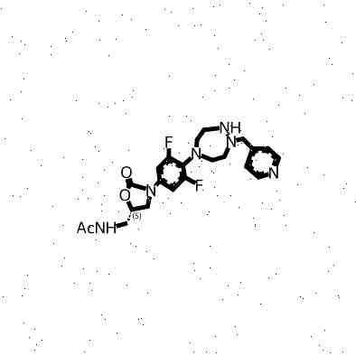 CC(=O)NC[C@H]1CN(c2cc(F)c(N3CCNN(Cc4ccncc4)CC3)c(F)c2)C(=O)O1